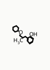 CC(COC1CCCCC1)Cc1ccccc1O